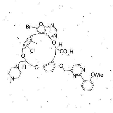 COc1ccccc1-c1nccc(COc2ccc3cc2C[C@H](C(=O)O)Oc2ncnc4oc(Br)c(c24)-c2ccc(c(Cl)c2C)O[C@H](CN2CCN(C)CC2)CO3)n1